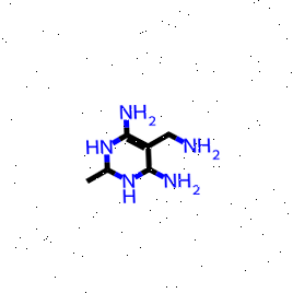 CC1NC(N)=C(CN)C(N)N1